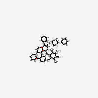 Cc1cccc(N(c2ccc3c4ccccc4n(-c4ccc(-c5ccccc5)cc4)c3c2)c2c(O)c(O)c(O)c(O)c2O)c1-c1ccccc1-c1ccccc1